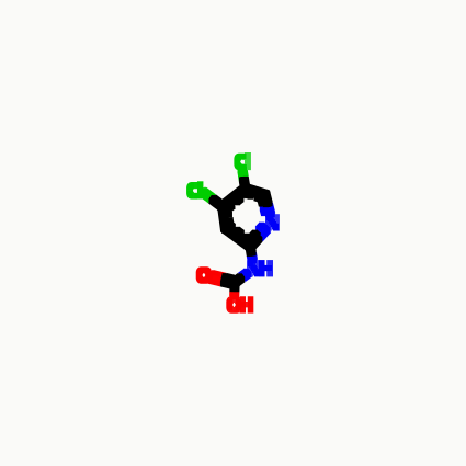 O=C(O)Nc1cc(Cl)c(Cl)cn1